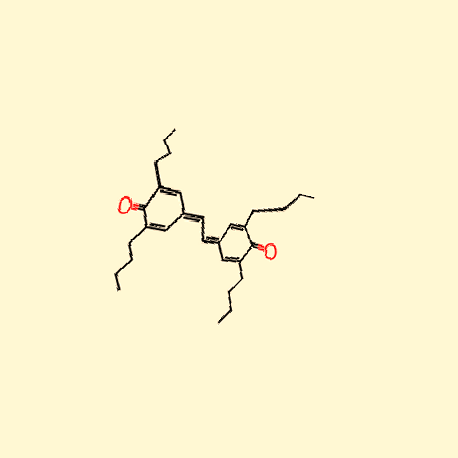 CCCCC1=CC(=CC=C2C=C(CCCC)C(=O)C(CCCC)=C2)C=C(CCCC)C1=O